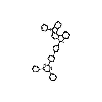 c1ccc(-c2cc(-c3ccccc3)nc(-c3ccc(-c4ccc(-c5nc6ccccc6c6c5ccc5c6c6ccccc6n5-c5ccccc5)cc4)cc3)n2)cc1